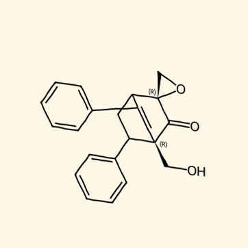 O=C1[C@@]2(CO)C=C(c3ccccc3)C(CC2c2ccccc2)[C@@]12CO2